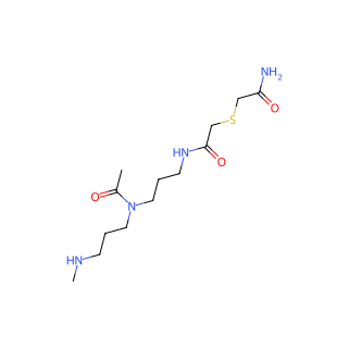 CNCCCN(CCCNC(=O)CSCC(N)=O)C(C)=O